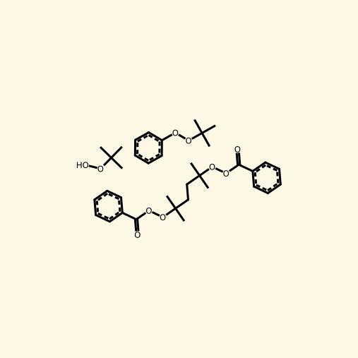 CC(C)(C)OO.CC(C)(C)OOc1ccccc1.CC(C)(CCC(C)(C)OOC(=O)c1ccccc1)OOC(=O)c1ccccc1